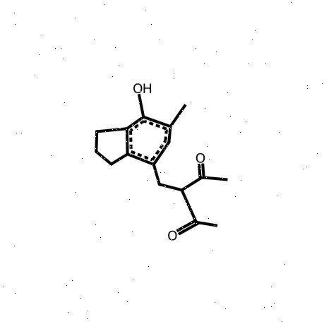 CC(=O)C(Cc1cc(C)c(O)c2c1CCC2)C(C)=O